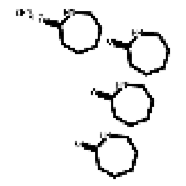 O=C1CCCCCN1.O=C1CCCCCN1.O=C1CCCCCN1.O=C1CCCCCN1.[Rh+2].[Rh+2]